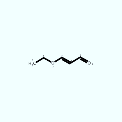 CCOC=CC=O